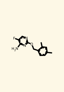 Cc1ccc(COc2ncc(F)c(N)n2)c(C)c1